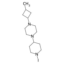 CC1CC(N2CCN(C3CCN(I)CC3)CC2)C1